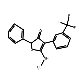 CNC1=C(c2cccc(C(F)(F)F)c2)C(=O)C(c2ccccc2)S1